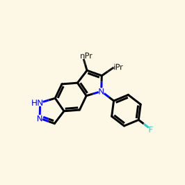 CCCc1c(C(C)C)n(-c2ccc(F)cc2)c2cc3cn[nH]c3cc12